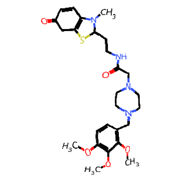 COc1ccc(CN2CCN(CC(=O)NCCC3SC4=C(C=CC(=O)C4)N3C)CC2)c(OC)c1OC